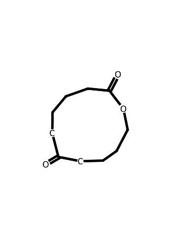 O=C1CCCCOC(=O)CCCC1